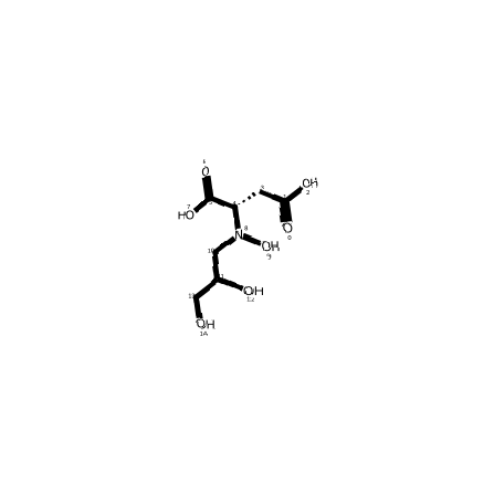 O=C(O)C[C@@H](C(=O)O)N(O)CC(O)CO